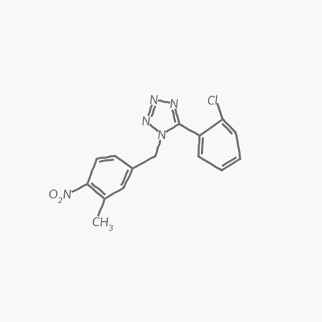 Cc1cc(Cn2nnnc2-c2ccccc2Cl)ccc1[N+](=O)[O-]